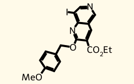 CCOC(=O)c1cc2cncc(I)c2nc1OCc1ccc(OC)cc1